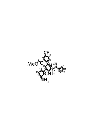 COCOc1cc(C(F)(F)F)ccc1-c1cc(-c2cccc(N)c2)c(C#N)c(NC(=O)c2cccs2)n1